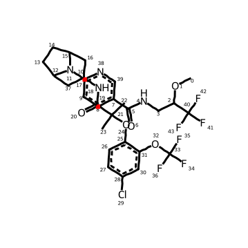 COC(CNC(=O)c1ccc(N2C3CCC2CC(NC(=O)C(C)(C)Oc2ccc(Cl)cc2OC(F)(F)F)C3)nc1)C(F)(F)F